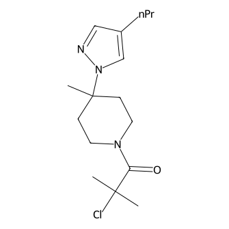 CCCc1cnn(C2(C)CCN(C(=O)C(C)(C)Cl)CC2)c1